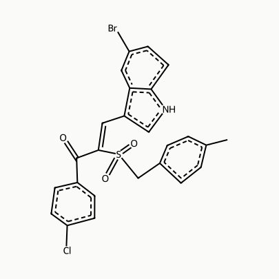 Cc1ccc(CS(=O)(=O)/C(=C\c2c[nH]c3ccc(Br)cc23)C(=O)c2ccc(Cl)cc2)cc1